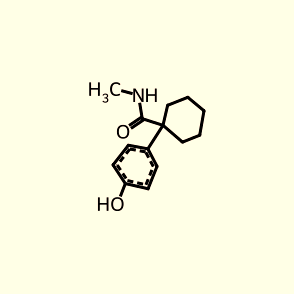 CNC(=O)C1(c2ccc(O)cc2)CCCCC1